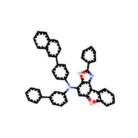 c1ccc(-c2cccc(N(c3ccc(-c4ccc5ccccc5c4)cc3)c3cc4oc5ccccc5c4c4nc(-c5ccccc5)oc34)c2)cc1